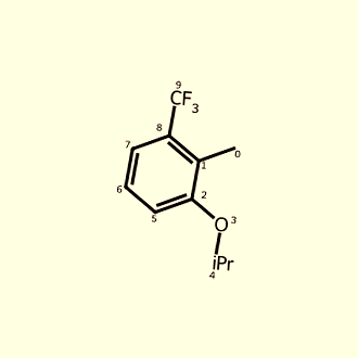 Cc1c(OC(C)C)cccc1C(F)(F)F